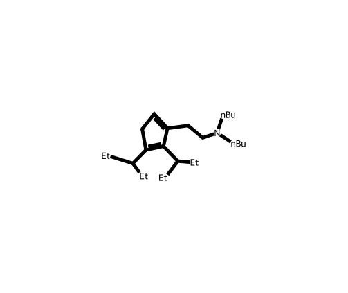 CCCCN(CCCC)CCC1=CCC(C(CC)CC)=C1C(CC)CC